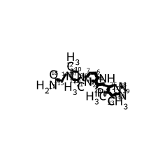 Cc1c(-c2[nH]c3ccc(N4C[C@@H](C)N(CCC(N)=O)C[C@@H]4C)nc3c2C(C)C)cn2ncnc2c1C